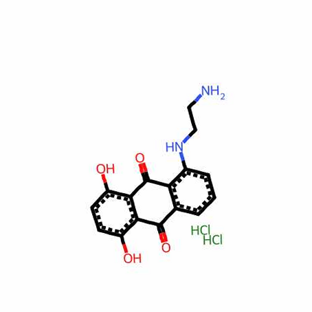 Cl.Cl.NCCNc1cccc2c1C(=O)c1c(O)ccc(O)c1C2=O